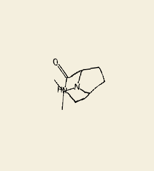 CC(C)N1C2CCC1C(=O)NC2